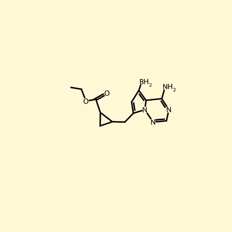 Bc1cc(CC2CC2C(=O)OCC)n2ncnc(N)c12